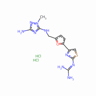 Cl.Cl.Cn1nc(N)nc1NCc1ccc(-c2csc(N=C(N)N)n2)o1